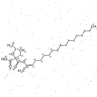 CCCCCCCCCCCCCCCC=C(C)OC(=O)C(CC)(OCC)C(=O)O